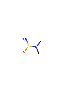 CN(C)[S+](N)[O-]